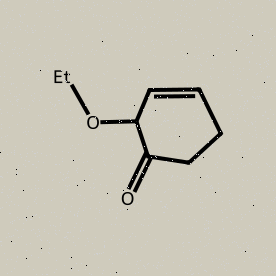 CCOC1C=CCCC1=O